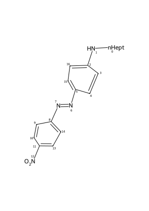 CCCCCCCNc1ccc(N=Nc2ccc([N+](=O)[O-])cc2)cc1